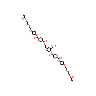 C=CC(=O)OCCCCCCOc1ccc(OC(=O)C2CCC(C(=O)OCCc3ccc(OC(=O)C4CCC(C(=O)Oc5ccc(OCCCCCCOC(=O)C=C)cc5)CC4)c(C=N)c3)CC2)cc1